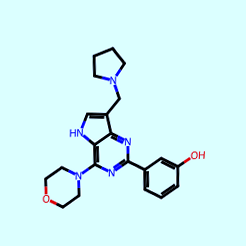 Oc1cccc(-c2nc(N3CCOCC3)c3[nH]cc(CN4CCCC4)c3n2)c1